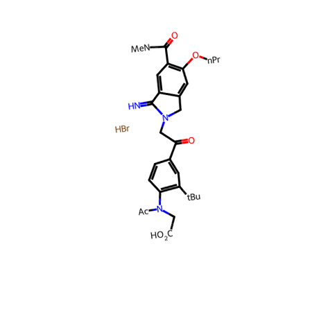 Br.CCCOc1cc2c(cc1C(=O)NC)C(=N)N(CC(=O)c1ccc(N(CC(=O)O)C(C)=O)c(C(C)(C)C)c1)C2